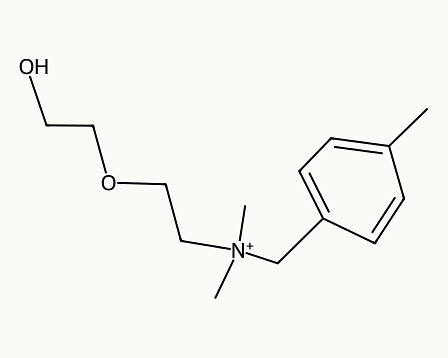 Cc1ccc(C[N+](C)(C)CCOCCO)cc1